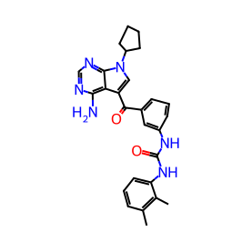 Cc1cccc(NC(=O)Nc2cccc(C(=O)c3cn(C4CCCC4)c4ncnc(N)c34)c2)c1C